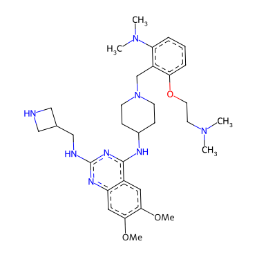 COc1cc2nc(NCC3CNC3)nc(NC3CCN(Cc4c(OCCN(C)C)cccc4N(C)C)CC3)c2cc1OC